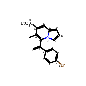 C=C(c1ccc(Br)cc1)c1c(C)c(C(=O)OCC)cc2cccn12